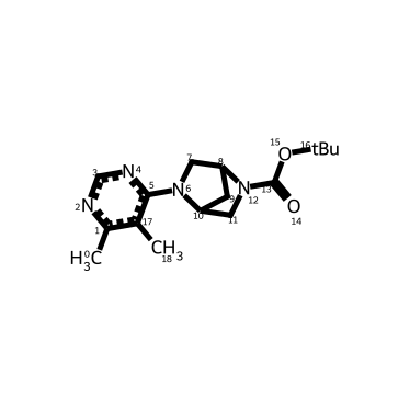 Cc1ncnc(N2CC3CC2CN3C(=O)OC(C)(C)C)c1C